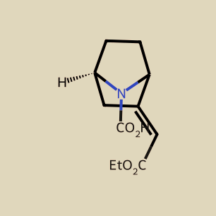 CCOC(=O)C=C1C[C@H]2CCC1N2C(=O)O